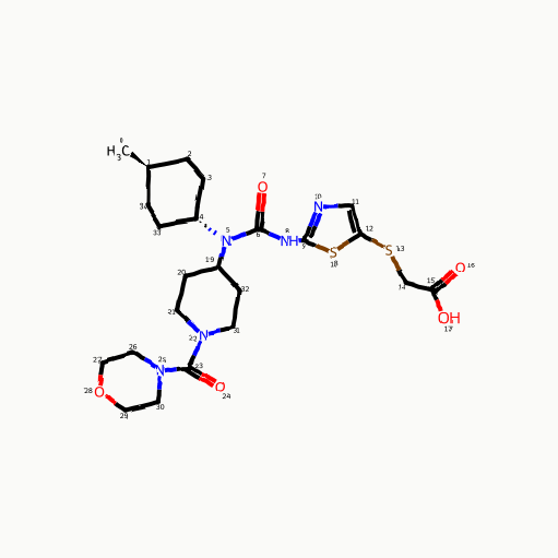 C[C@H]1CC[C@H](N(C(=O)Nc2ncc(SCC(=O)O)s2)C2CCN(C(=O)N3CCOCC3)CC2)CC1